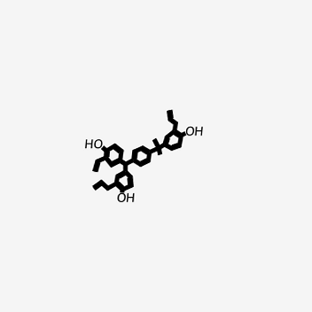 C=CCc1cc(C(c2ccc(C(C)(C)c3ccc(O)c(CC=C)c3)cc2)c2ccc(O)c(C=C)c2)ccc1O